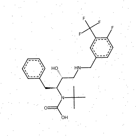 CC(C)(C)N(C(=O)O)[C@@H](Cc1ccccc1)[C@H](O)CNCc1ccc(F)c(C(F)(F)F)c1